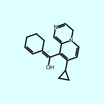 O/C(C1=C(C2CC2)C=CN2CC=NC=C12)=C1\C=CCCC1